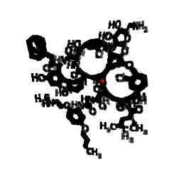 CCCCOc1ccc(OCCNC)c(NC(=O)NC(=O)C[C@@H]2CC(=O)[C@H](NC(=O)[C@H](CC)CC(C)C)[C@H](O)c3ccc(c(Cl)c3)Oc3cc4cc(c3O[C@@H]3O[C@H](CN)[C@@H](O)[C@H](O)[C@H]3O)Oc3ccc(cc3Cl)[C@@H](O)[C@@H]3NC(=O)[C@H](CC(=O)[C@@H]4NC2=O)c2ccc(O)c(c2)-c2c(O)cc(O)cc2[C@@H](C(=O)CC2C4CC5CC(C4)CC2C5)NC3=O)c1